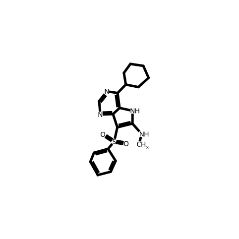 CNc1[nH]c2c(C3CCCCC3)ncnc2c1S(=O)(=O)c1ccccc1